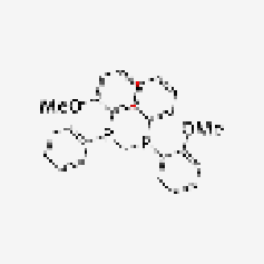 COc1ccccc1P(CP(c1ccccc1)c1ccccc1OC)c1ccccc1